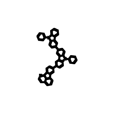 c1ccc(-n2c3ccccc3c3cc(-c4ccc5c(c4)c4cc(-c6ccc7c(c6)-c6cccc8ccnc-7c68)ccc4n5-c4ccccc4)ccc32)cc1